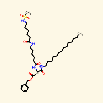 CCCCCCCCCCCCCCNC(=O)[C@H](CC(=O)OCc1ccccc1)NC(=O)CCCCCNC(=O)CCCCCNS(C)(=O)=O